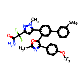 CSc1cccc(-c2ccc(-c3cc(C(F)(F)C(N)=O)nn3C)c(-c3oc(C)nc3-c3ccc(OC(F)(F)F)cc3)c2)c1